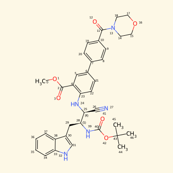 COC(=O)c1cc(-c2ccc(C(=O)N3CCOCC3)cc2)ccc1N[C@@H](C#N)[C@H](Cc1c[nH]c2ccccc12)NC(=O)OC(C)(C)C